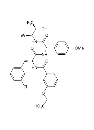 COc1ccc([C@H](NC(=O)[C@H](Cc2cccc(Cl)c2)NC(=O)c2cccc(OCC(=O)O)c2)C(=O)N[C@@H](C(C)C)[C@H](O)C(F)(F)F)cc1